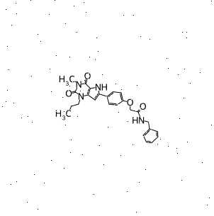 CCCn1c(=O)n(C)c(=O)c2[nH]c(-c3ccc(OCC(=O)NCc4ccccc4)cc3)cc21